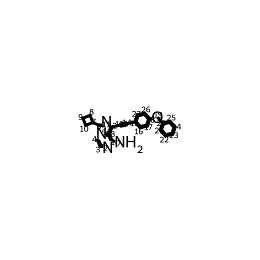 Nc1nccn2c(C3CCC3)nc(C#Cc3ccc(Oc4ccccc4)cc3)c12